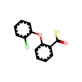 O=C(S)c1ccccc1Oc1ccccc1Cl